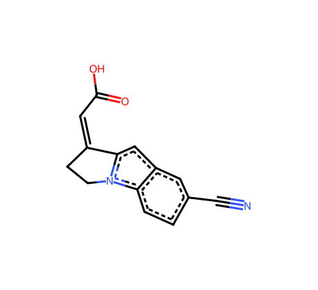 N#Cc1ccc2c(c1)cc1n2CCC1=CC(=O)O